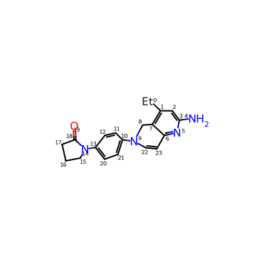 CCc1cc(N)nc2c1CN(c1ccc(N3CCCC3=O)cc1)C=C2